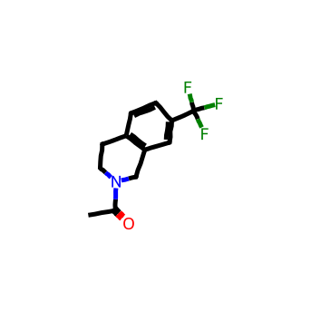 CC(=O)N1CCc2ccc(C(F)(F)F)cc2C1